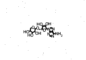 Nc1ncnc2c1ncn2[C@@H]1O[C@H](COC2OCC(O)C(O)C2O)[C@@H](O)[C@H]1O